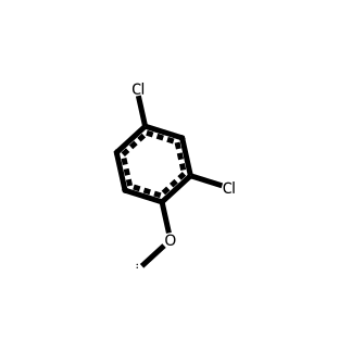 [CH]Oc1ccc(Cl)cc1Cl